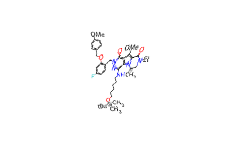 CCN1C[C@H](C)n2c(c(OC)c3c(=O)n(Cc4ccc(F)cc4OCc4ccc(OC)cc4)nc(NCCCCCCO[Si](C)(C)C(C)(C)C)c32)C1=O